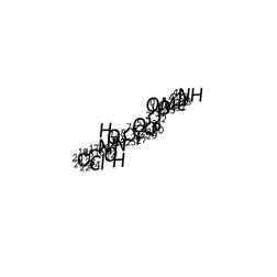 COc1cc2c(Oc3ccc(NC(=O)C(=O)NCCc4ccccc4Cl)cc3F)ccpc2cc1OCC1CCNCC1